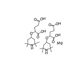 CC1(C)CC(OC(CCC(=O)O)C(=O)O)CC(C)(C)N1.CC1(C)CC(OC(CCC(=O)O)C(=O)O)CC(C)(C)N1.[Mg]